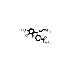 CC1C=CC(C(OCCN)[C@@H]2CCCN(C(=O)OC(C)(C)C)C2)=C(F)C1Cl